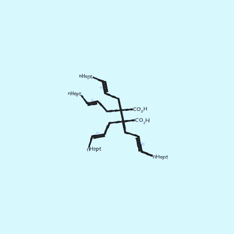 CCCCCCC/C=C/CC(C/C=C/CCCCCCC)(C(=O)O)C(C/C=C/CCCCCCC)(C/C=C/CCCCCCC)C(=O)O